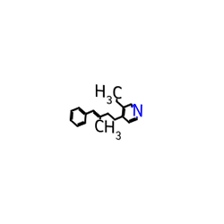 CCc1cnccc1CC/C(C)=C/c1ccccc1